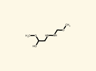 COCNNCC(O)OC